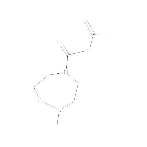 C=C(C)OC(=O)N1CCON(C)CC1